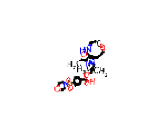 CCc1nn(CC(C)(C)COC(O)c2ccc(S(=O)(=O)N3CCOCC3)cc2)c2c1C(=O)NCCCOCCC2